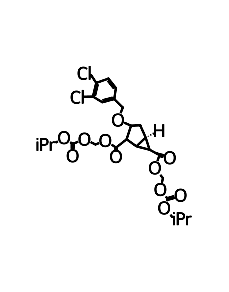 CC(C)OC(=O)OCOC(=O)C1C(OCc2ccc(Cl)c(Cl)c2)C[C@H]2C(C(=O)OCOC(=O)OC(C)C)C12